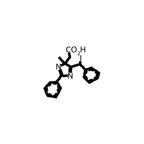 CC1(CC(=O)O)N=C(c2ccccc2)N=C1C(I)c1ccccc1